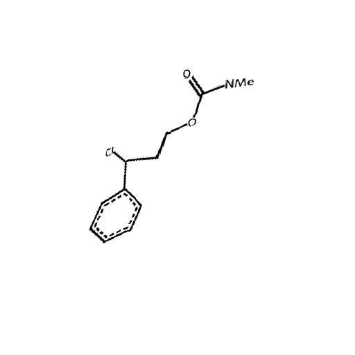 CNC(=O)OCCC(Cl)c1ccccc1